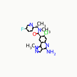 C[C@@H](c1ccc(F)cn1)N(C)C(=O)c1cc2c(cc1Cl)nc(N)c1cnn(C)c12